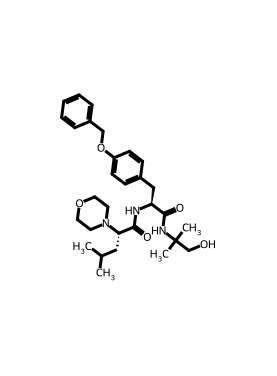 CC(C)C[C@@H](C(=O)N[C@@H](Cc1ccc(OCc2ccccc2)cc1)C(=O)NC(C)(C)CO)N1CCOCC1